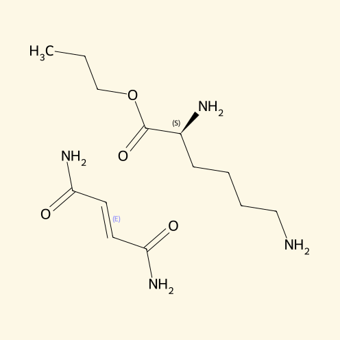 CCCOC(=O)[C@@H](N)CCCCN.NC(=O)/C=C/C(N)=O